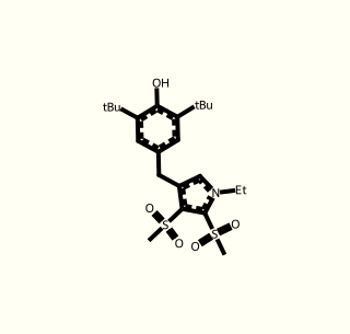 CCn1cc(Cc2cc(C(C)(C)C)c(O)c(C(C)(C)C)c2)c(S(C)(=O)=O)c1S(C)(=O)=O